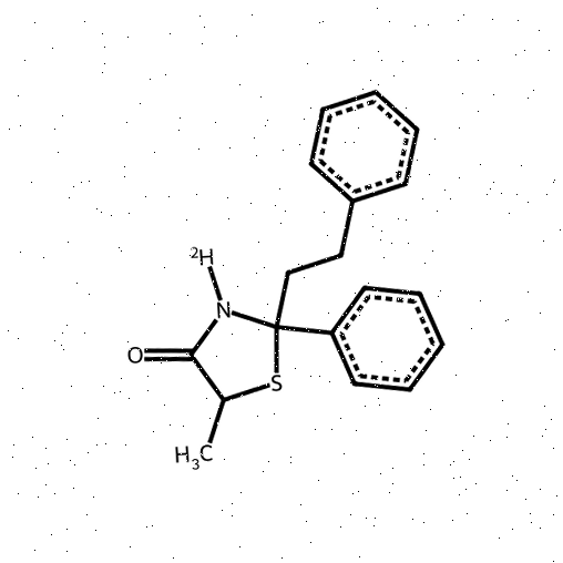 [2H]N1C(=O)C(C)SC1(CCc1ccccc1)c1ccccc1